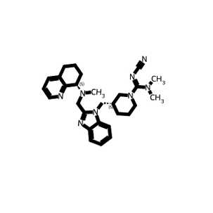 CN(C)C(=NC#N)N1CCC[C@H](Cn2c(CN(C)[C@H]3CCCc4cccnc43)nc3ccccc32)C1